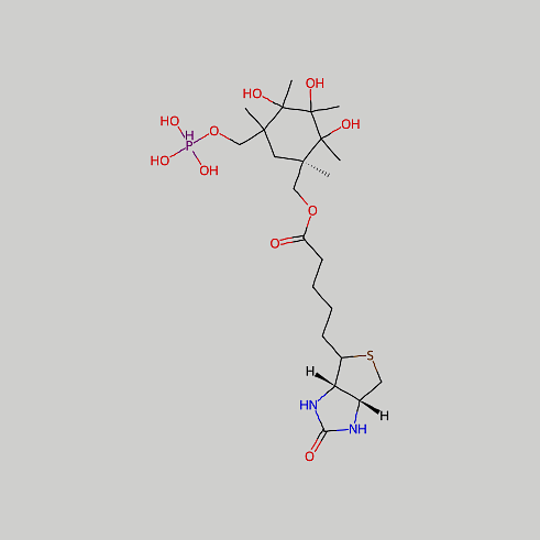 CC1(CO[PH](O)(O)O)C[C@](C)(COC(=O)CCCCC2SC[C@@H]3NC(=O)N[C@H]23)C(C)(O)C(C)(O)C1(C)O